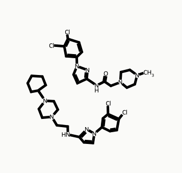 CN1CCN(CC(=O)Nc2ccn(-c3ccc(Cl)c(Cl)c3)n2)CC1.Clc1ccc(-n2ccc(NCCN3CCN(C4CCCCC4)CC3)n2)cc1Cl